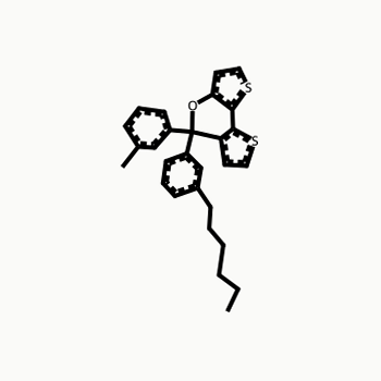 CCCCCCc1cccc(C2(c3cccc(C)c3)Oc3ccsc3-c3sccc32)c1